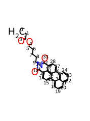 C=CC(=O)OCCCCCN1C(=O)c2ccc3c4cccc5cccc(c6ccc(c2c36)C1=O)c54